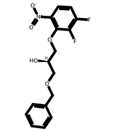 O=[N+]([O-])c1ccc(F)c(F)c1OC[C@H](O)COCc1ccccc1